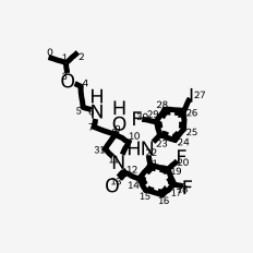 CC(C)OCCNCC1(O)CN(C(=O)c2ccc(F)c(F)c2Nc2ccc(I)cc2F)C1